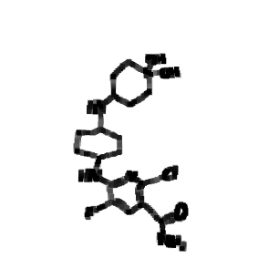 NC(=O)c1cc(F)c(NC2CCC(NC3CCS(O)(O)CC3)CC2)nc1Cl